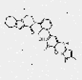 Cc1cc(Nc2cc(-c3cccc(N4CCn5c(cc6c5CCCC6)C4=O)c3CO)cn(C)c2=O)nn1C